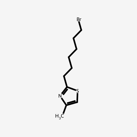 Cc1csc(CCCCCCBr)n1